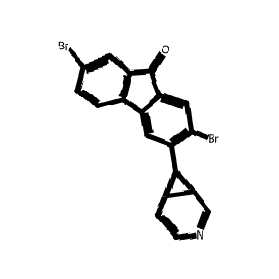 O=C1c2cc(Br)ccc2-c2cc(C3C4C=CN=CC43)c(Br)cc21